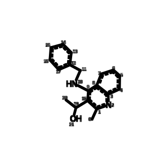 Cc1nc2ccccc2c(NCc2ccccc2)c1C(C)O